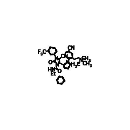 CCNC(=O)n1c(-c2ccnn2-c2ccc(C#N)cc2CC[N+](C)(C)C)c(C)n(-c2cccc(C(F)(F)F)c2)c1=O.c1ccccc1